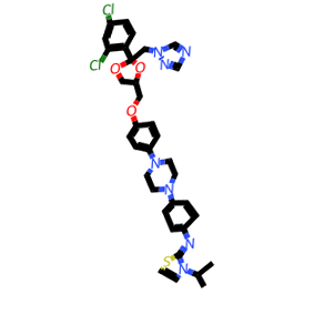 CC(C)n1ccsc1=Nc1ccc(N2CCN(c3ccc(OCC4COC(Cn5cncn5)(c5ccc(Cl)cc5Cl)O4)cc3)CC2)cc1